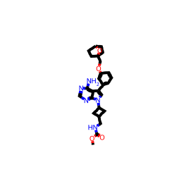 COC(=O)NCC1CC(n2cc(-c3cccc(OCC45CCC(CC4)O5)c3)c3c(N)ncnc32)C1